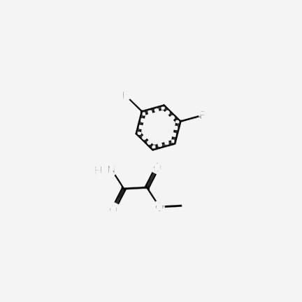 COC(=O)C(N)=O.Fc1cccc(F)c1